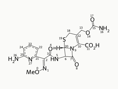 CON=C(C(=O)NC1C(=O)N2C(C(=O)O)=C(COC(N)=O)CS[C@@H]12)c1cccc(N)n1